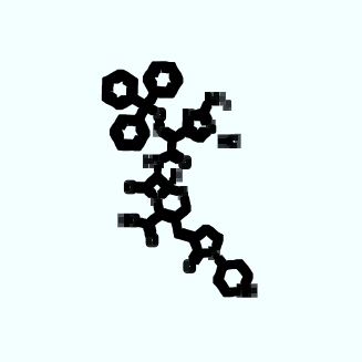 Cl.Nc1nc(C(=NOC(c2ccccc2)(c2ccccc2)c2ccccc2)C(=O)N[C@@H]2C(=O)N3C(C(=O)O)=C(C=C4CCN(C5CCNCC5)C4=O)CS[C@H]23)cs1